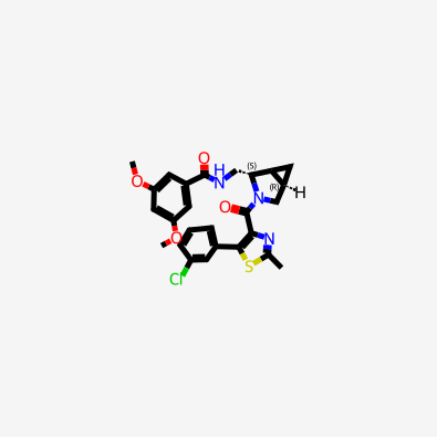 COc1cc(OC)cc(C(=O)NC[C@@H]2C3C[C@H]3CN2C(=O)c2nc(C)sc2-c2cccc(Cl)c2)c1